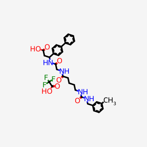 Cc1cccc(CNC(=O)NCCCCC(=O)NCC(=O)NC(CC(=O)O)c2ccc(-c3ccccc3)cc2)c1.O=C(O)C(F)(F)F